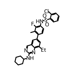 CCc1cc(-c2ccc(NS(=O)(=O)c3ccccc3Cl)c(F)c2C)cc2cnc(NC3CCCCC3)nc12